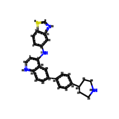 c1cc(Nc2ccc3scnc3c2)c2cc(-c3ccc(C4CCNCC4)cc3)ccc2n1